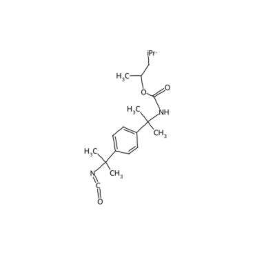 C[C](C)CC(C)OC(=O)NC(C)(C)c1ccc(C(C)(C)N=C=O)cc1